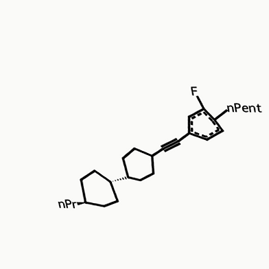 CCCCCc1ccc(C#CC2CCC([C@H]3CC[C@H](CCC)CC3)CC2)cc1F